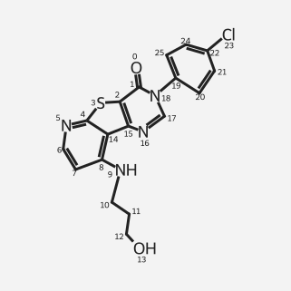 O=c1c2sc3nccc(NCCCO)c3c2ncn1-c1ccc(Cl)cc1